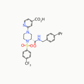 CC(C)c1ccc(CNC(=O)[C@H]2CN(c3cc(C(=O)O)ccn3)CCN2S(=O)(=O)c2ccc(C(F)(F)F)cc2)cc1